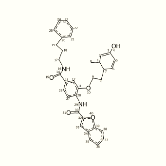 CC1C=C(O)C=CC1CCOc1cc(C(=O)NCCCc2ccccc2)ccc1NC(=O)c1cc2ccccc2o1